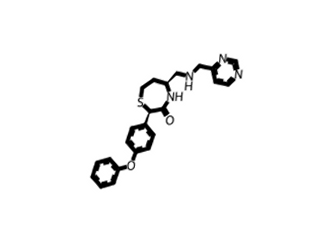 O=C1N[C@H](CNCc2ccncn2)CCS[C@@H]1c1ccc(Oc2ccccc2)cc1